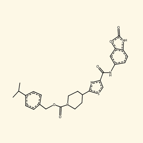 CC(C)c1ccc(COC(=O)N2CCC(c3nc(C(=O)Nc4ccc5[nH]c(=O)oc5c4)cs3)CC2)cc1